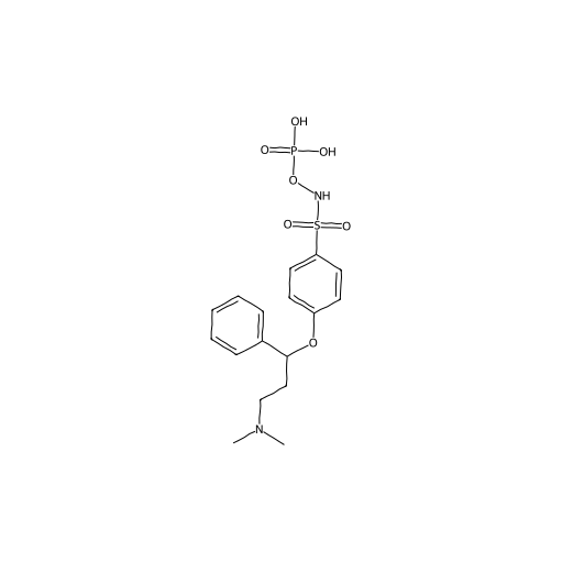 CN(C)CCC(Oc1ccc(S(=O)(=O)NOP(=O)(O)O)cc1)c1ccccc1